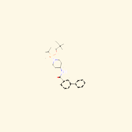 CC(C)P(=O)(OCC(C)(C)C)N1CCC(NC(=O)c2cccc(-c3ccccc3)c2)CC1